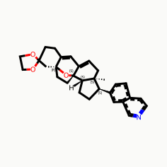 C[C@@]12CC=C3C=C4CCC5(C[C@]46CC[C@]3(O6)[C@H]1CC[C@@H]2c1ccc2ccncc2c1)OCCO5